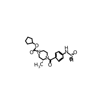 C[C@@H]1CN(C(=O)OC2CCCC2)CCN1C(=O)c1ccc(N[SH](=O)=O)cc1